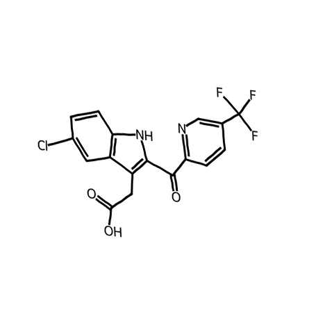 O=C(O)Cc1c(C(=O)c2ccc(C(F)(F)F)cn2)[nH]c2ccc(Cl)cc12